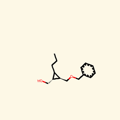 CCCC1[C@@H](CO)[C@@H]1COCc1ccccc1